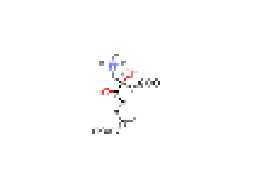 CCCCCC(C)CCC(=O)C(O)(CC(=O)[O-])C[N+](C)(C)C